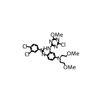 COCCN(CCOC)c1ccc(/N=N/c2ccc(Cl)c(Cl)c2)c(Nc2nc(Cl)nc(OC)n2)c1